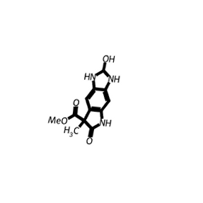 COC(=O)C1(C)C(=O)Nc2cc3c(cc21)NC(O)N3